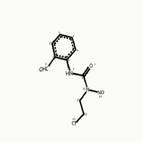 O=[C]c1ccccc1NC(=O)N(CCCl)N=O